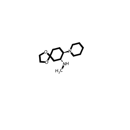 CN[C@@H]1CC2(CC[C@H]1N1CCCCC1)OCCO2